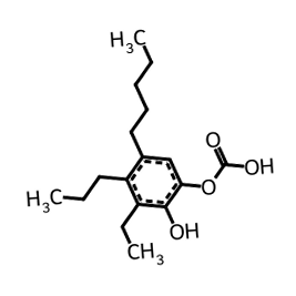 CCCCCc1cc(OC(=O)O)c(O)c(CC)c1CCC